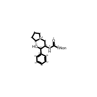 CCCCCCCCCC(=O)NC(CN1CCCC1)C(O)c1ccccc1